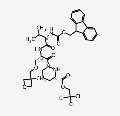 CC(C)[C@H](NC(=O)OCC1c2ccccc2-c2ccccc21)C(=O)N[C@@H](COCC1(C)COC1)C(=O)N1CCC[C@@H](C(=O)OCC(Cl)(Cl)Cl)N1